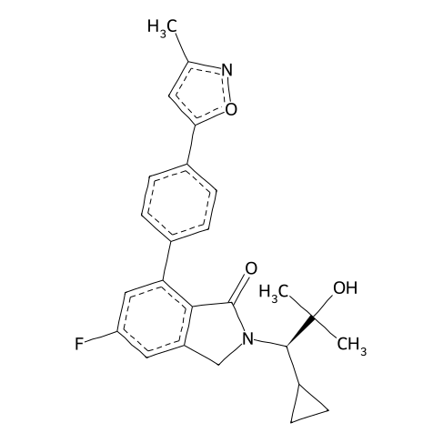 Cc1cc(-c2ccc(-c3cc(F)cc4c3C(=O)N([C@H](C3CC3)C(C)(C)O)C4)cc2)on1